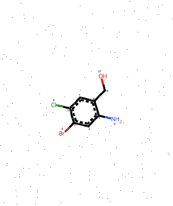 Nc1cc(Br)c(Cl)cc1CO